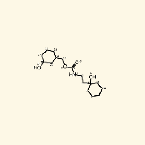 O=C(NCCC1(O)CCCCC1)OCC1CCCC(O)C1